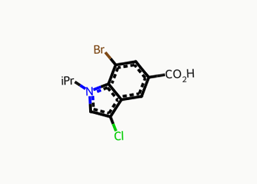 CC(C)n1cc(Cl)c2cc(C(=O)O)cc(Br)c21